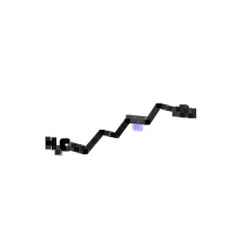 [CH2]CCCC/C=C/CCC=C